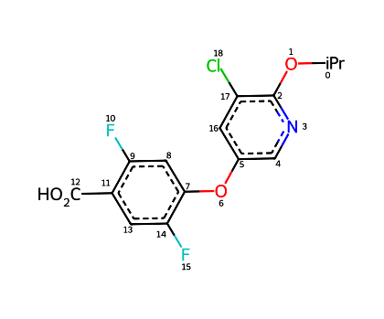 CC(C)Oc1ncc(Oc2cc(F)c(C(=O)O)cc2F)cc1Cl